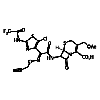 C#CCON=C(C(=O)N[C@@H]1C(=O)N2C(C(=O)O)=C(COC(C)=O)CS[C@H]12)c1nc(NC(=O)C(F)(F)F)sc1Cl